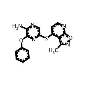 Cc1noc2nccc(Sc3cnc(N)c(Oc4ccccc4)n3)c12